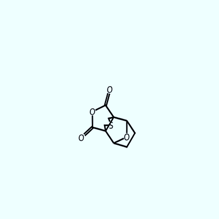 O=C1OC(=O)C23CSCC12C1CCC3O1